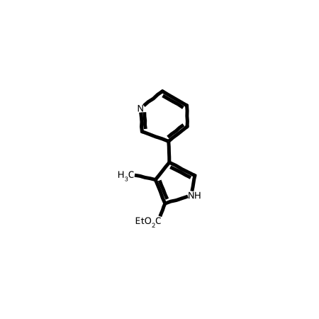 CCOC(=O)c1[nH]cc(-c2cccnc2)c1C